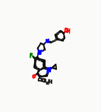 O=C(O)c1cn(C2CC2)c2cc(N3CCC(N=Cc4ccc(O)cc4)C3)c(F)cc2c1=O